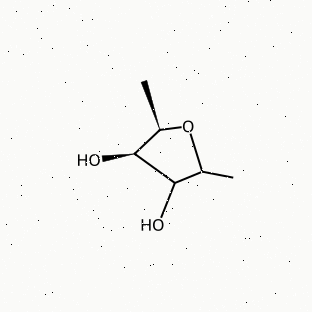 CC1O[C@H](C)[C@H](O)C1O